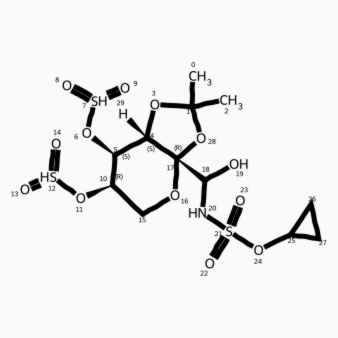 CC1(C)O[C@H]2[C@H](O[SH](=O)=O)[C@H](O[SH](=O)=O)CO[C@@]2(C(O)NS(=O)(=O)OC2CC2)O1